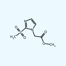 COC(=O)Cn1ccnc1S(C)(=O)=O